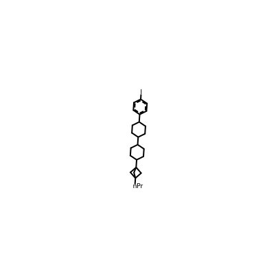 CCCC12CC(C3CCC(C4CCC(c5ccc(I)cc5)CC4)CC3)(C1)C2